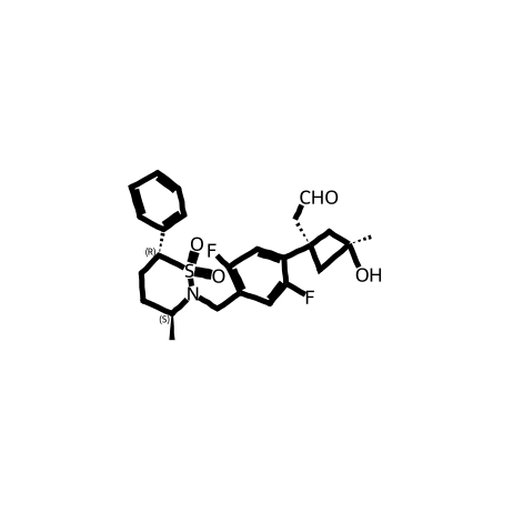 C[C@H]1CC[C@H](c2ccccc2)S(=O)(=O)N1Cc1cc(F)c([C@]2(CC=O)C[C@](C)(O)C2)cc1F